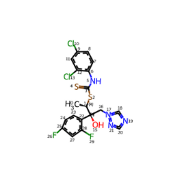 C[C@@H](SC(=S)Nc1ccc(Cl)cc1Cl)[C@](O)(Cn1cncn1)c1ccc(F)cc1F